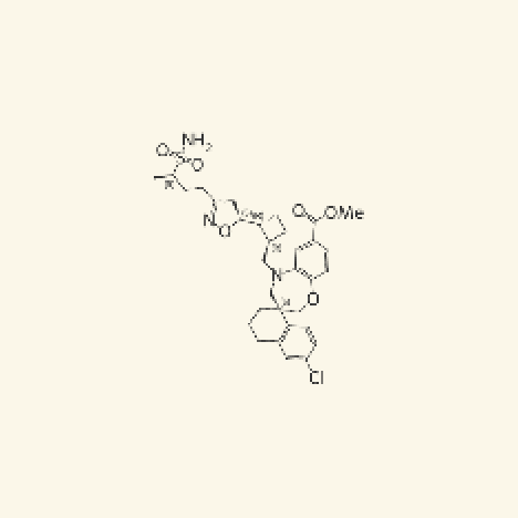 COC(=O)c1ccc2c(c1)N(C[C@@H]1CC[C@H]1[C@@H]1CC(CC[C@@H](C)S(N)(=O)=O)=NO1)C[C@@]1(CCCc3cc(Cl)ccc31)CO2